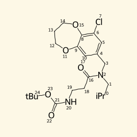 CC(C)CN(Cc1cc(Cl)c2c(c1)OCCCO2)C(=O)CCNC(=O)OC(C)(C)C